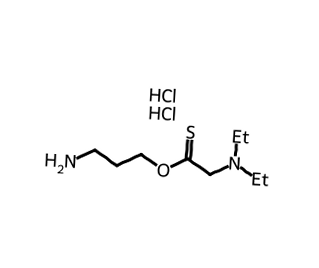 CCN(CC)CC(=S)OCCCN.Cl.Cl